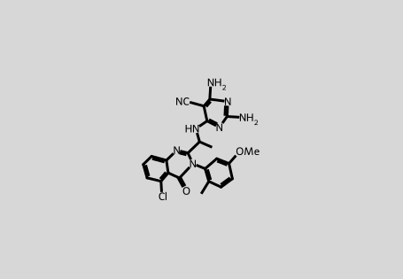 COc1ccc(C)c(-n2c(C(C)Nc3nc(N)nc(N)c3C#N)nc3cccc(Cl)c3c2=O)c1